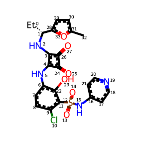 CC[C@@H](Nc1c(Nc2ccc(Cl)c(S(=O)(=O)Nc3ccncc3)c2O)c(=O)c1=O)c1ccc(C)o1